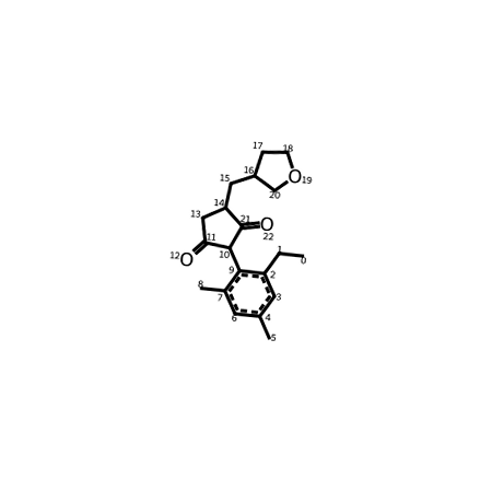 CCc1cc(C)cc(C)c1C1C(=O)CC(CC2CCOC2)C1=O